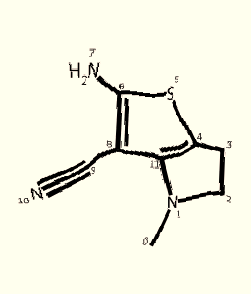 CN1CCc2sc(N)c(C#N)c21